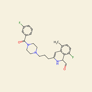 Cc1ccc(F)c2c1C=C(CCCN1CCN(C(=O)c3cccc(F)c3)CC1)NC2C=O